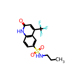 CCCNS(=O)(=O)c1ccc2[nH]c(=O)cc(C(F)(F)F)c2c1